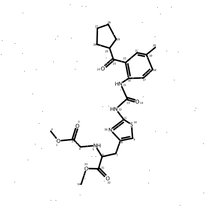 COC(=O)CNC(Cc1csc(NC(=O)Nc2ccc(C)cc2C(=O)C2CCCC2)n1)C(=O)OC